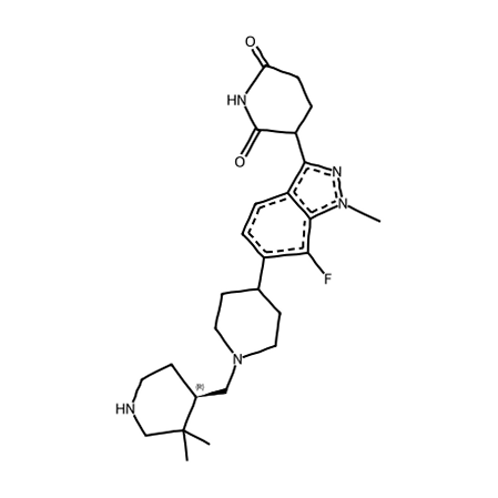 Cn1nc(C2CCC(=O)NC2=O)c2ccc(C3CCN(C[C@@H]4CCNCC4(C)C)CC3)c(F)c21